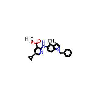 COC(=O)c1cc(C2CC2)cnc1Nc1ccc2c(ccn2Cc2ccccc2)c1C